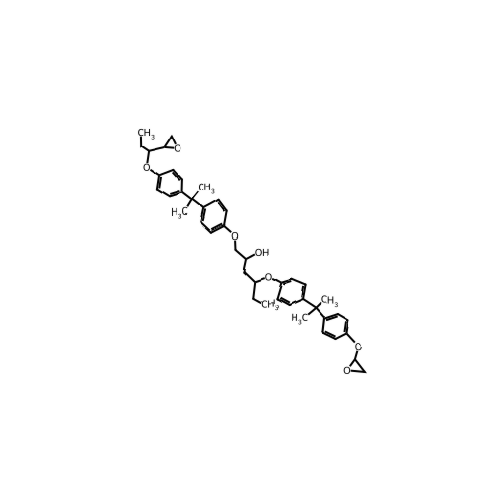 CCC(CC(O)COc1ccc(C(C)(C)c2ccc(OC(CC)C3CO3)cc2)cc1)Oc1ccc(C(C)(C)c2ccc(OC3CO3)cc2)cc1